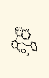 O=[N+]([O-])c1cccc(C(=NO)c2cccnc2)c1CCc1ccccc1